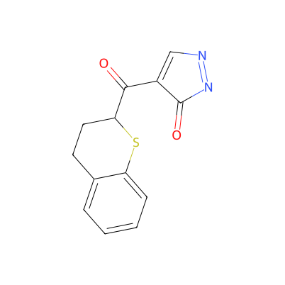 O=C1N=NC=C1C(=O)C1CCc2ccccc2S1